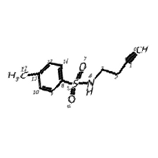 C#CCCNS(=O)(=O)c1ccc(C)cc1